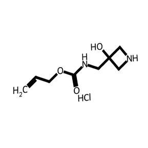 C=CCOC(=O)NCC1(O)CNC1.Cl